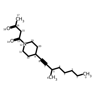 CCCCCC(C)C#CC1CCN(C(=O)CC(C)=O)CC1